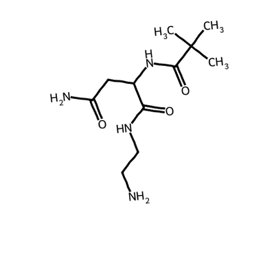 CC(C)(C)C(=O)NC(CC(N)=O)C(=O)NCCN